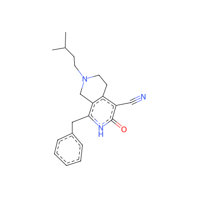 CC(C)CCN1CCc2c(c(Cc3ccccc3)[nH]c(=O)c2C#N)C1